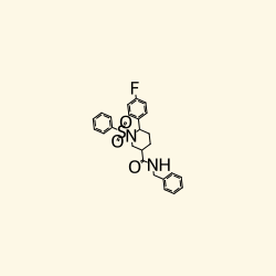 O=C(NCc1ccccc1)C1CCC(c2ccc(F)cc2)N(S(=O)(=O)c2ccccc2)C1